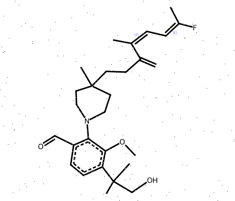 C=C(CCC1(C)CCN(c2c(C=O)ccc(C(C)(C)CO)c2OC)CC1)/C(C)=C\C=C(/C)F